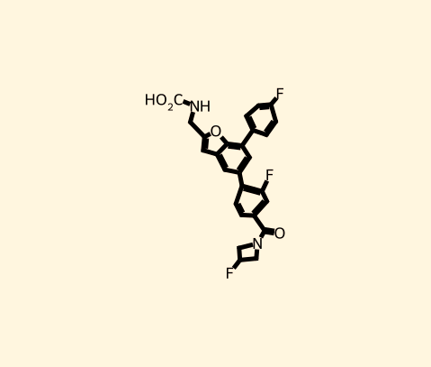 O=C(O)NCc1cc2cc(-c3ccc(C(=O)N4CC(F)C4)cc3F)cc(-c3ccc(F)cc3)c2o1